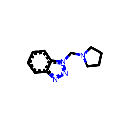 c1ccc2c(c1)nnn2CN1CCCC1